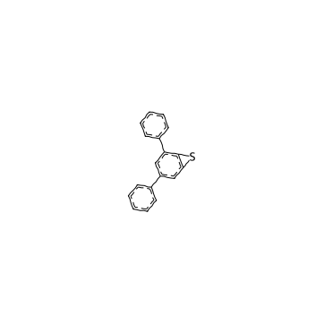 c1ccc(-c2cc3c(c(-c4ccccc4)c2)S3)cc1